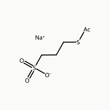 CC(=O)SCCCS(=O)(=O)[O-].[Na+]